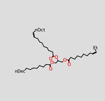 CC/C=C\CCCCCCCC(=O)OCC(COC(=O)CCCCCCCCCCCCCCCCC)OC(=O)CCCCCCC/C=C\CCCCCCCC